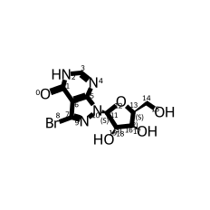 O=c1[nH]cnc2c1c(Br)nn2[C@H]1O[C@@H](CO)[C@H](O)[C@@H]1O